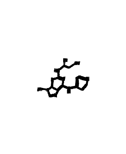 CC[C@H](CO)Nc1nc(Nc2ccncc2)c2ncn(C(C)C)c2n1